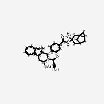 C#CC(=O)N1[C@@H](CCCC)Cc2c([nH]c3ccccc23)[C@@H]1c1ccc(C(=O)NC2(C)CC3CC4CC4(C3)C2)cc1